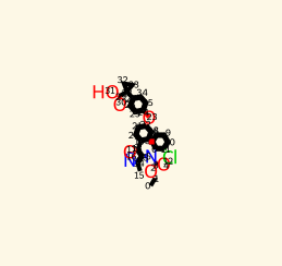 CCOC(=O)N(c1ccccc1Cl)c1c(C)noc1-c1ccc(Oc2ccc(C3(C(=O)O)CC3)cc2)cc1